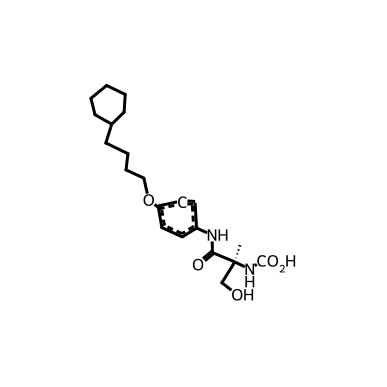 C[C@@](CO)(NC(=O)O)C(=O)Nc1ccc(OCCCCC2CCCCC2)cc1